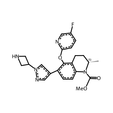 COC(=O)N1c2ccc(-c3cnn(C4CNC4)c3)c(Oc3ccc(F)cn3)c2CC[C@@H]1C